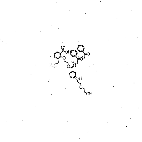 CCc1cccc(C(=O)O)c1OCCOC(=O)c1ccccc1.O=C(O)c1ccccc1.O=C(O)c1ccccc1.OCCOCCO